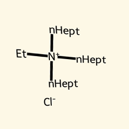 CCCCCCC[N+](CC)(CCCCCCC)CCCCCCC.[Cl-]